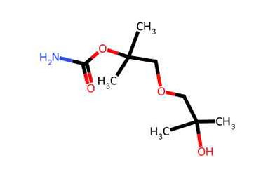 CC(C)(O)COCC(C)(C)OC(N)=O